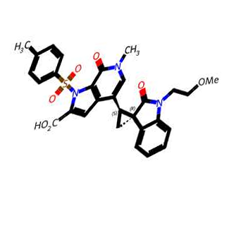 COCCN1C(=O)[C@@]2(C[C@H]2c2cn(C)c(=O)c3c2cc(C(=O)O)n3S(=O)(=O)c2ccc(C)cc2)c2ccccc21